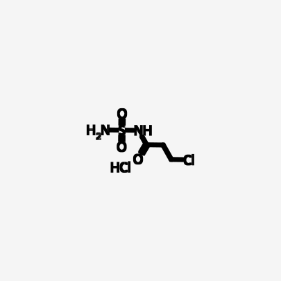 Cl.NS(=O)(=O)NC(=O)CCCl